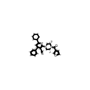 C[C@@H]1CN(c2nc(C3CCCCC3)cc(-c3ccccc3)c2C#N)C[C@H](C)N1C(=O)c1ccoc1